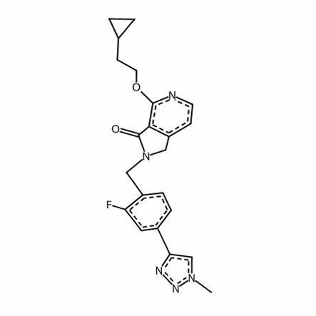 Cn1cc(-c2ccc(CN3Cc4ccnc(OCCC5CC5)c4C3=O)c(F)c2)nn1